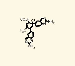 Nc1ncc2cc(C3=CC(c4ccc5nc(N)ncc5c4)(C(F)(F)F)C(C(=O)O)C=C3C(F)(F)F)ccc2n1